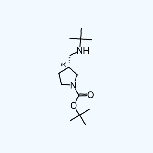 CC(C)(C)NC[C@H]1CCN(C(=O)OC(C)(C)C)C1